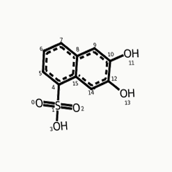 O=S(=O)(O)c1cccc2cc(O)c(O)[c]c12